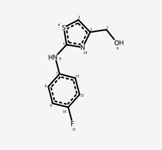 OCc1csc(Nc2ccc(F)cc2)n1